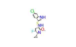 COc1nc(C2CC2)c(F)cc1NSc1c[nH]c2cc(Cl)ccc12